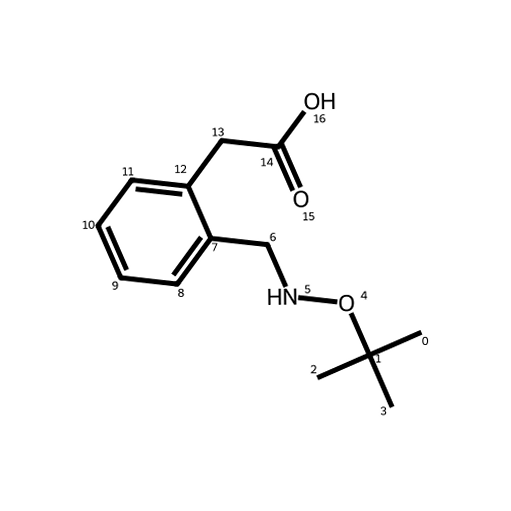 CC(C)(C)ONCc1ccccc1CC(=O)O